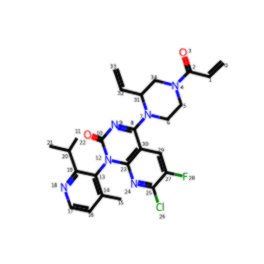 C=CC(=O)N1CCN(c2nc(=O)n(-c3c(C)ccnc3C(C)C)c3nc(Cl)c(F)cc23)C(C=C)C1